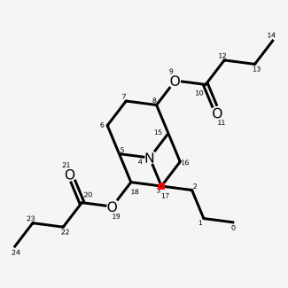 CCCCN1C2CCC(OC(=O)CCC)C1CCC2OC(=O)CCC